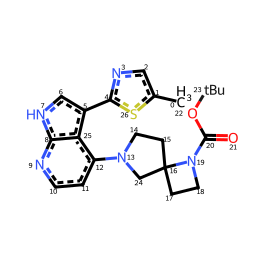 Cc1cnc(-c2c[nH]c3nccc(N4CCC5(CCN5C(=O)OC(C)(C)C)C4)c23)s1